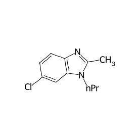 CCCn1c(C)nc2ccc(Cl)cc21